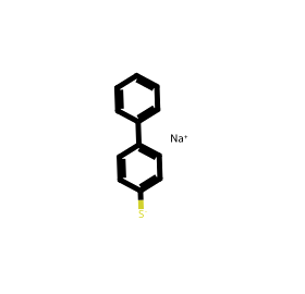 [Na+].[S-]c1ccc(-c2ccccc2)cc1